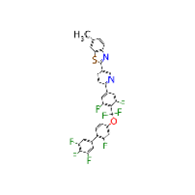 Cc1ccc2nc(-c3ccc(-c4cc(F)c(C(F)(F)Oc5ccc(-c6cc(F)c(F)c(F)c6)c(F)c5)c(F)c4)nc3)sc2c1